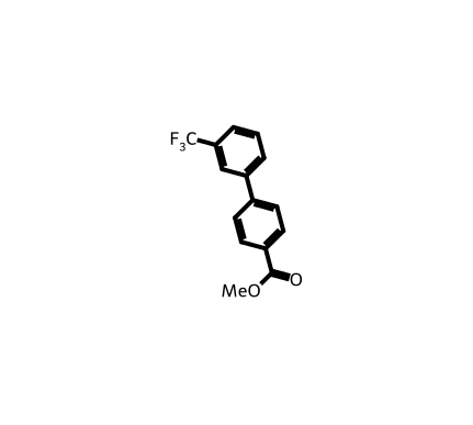 COC(=O)c1ccc(-c2cccc(C(F)(F)F)c2)cc1